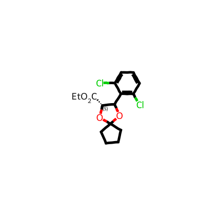 CCOC(=O)[C@H]1OC2(CCCC2)OC1c1c(Cl)cccc1Cl